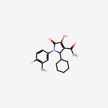 CC(=O)C1=C(O)C(=O)N(c2ccc(F)c(C)c2)C1C1CCCCC1